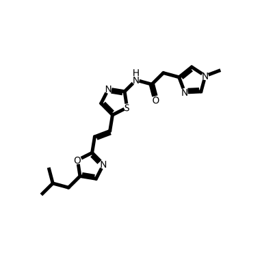 CC(C)Cc1cnc(/C=C/c2cnc(NC(=O)Cc3cn(C)cn3)s2)o1